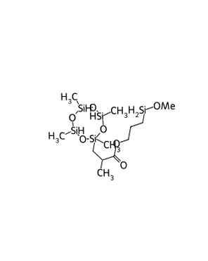 CO[SiH2]CCCOC(=O)C(C)C[Si]1(C)O[SiH](C)O[SiH](C)O[SiH](C)O1